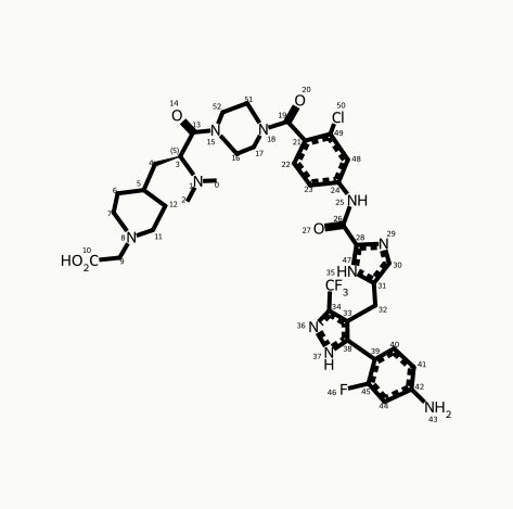 CN(C)[C@@H](CC1CCN(CC(=O)O)CC1)C(=O)N1CCN(C(=O)c2ccc(NC(=O)c3ncc(Cc4c(C(F)(F)F)n[nH]c4-c4ccc(N)cc4F)[nH]3)cc2Cl)CC1